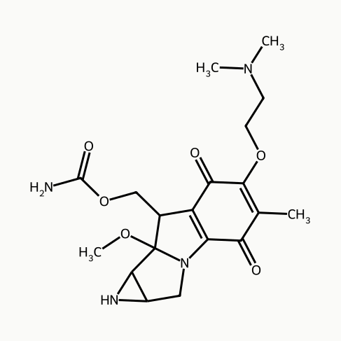 COC12C(COC(N)=O)C3=C(C(=O)C(C)=C(OCCN(C)C)C3=O)N1CC1NC12